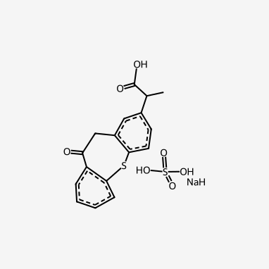 CC(C(=O)O)c1ccc2c(c1)CC(=O)c1ccccc1S2.O=S(=O)(O)O.[NaH]